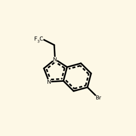 FC(F)(F)Cn1cnc2cc(Br)ccc21